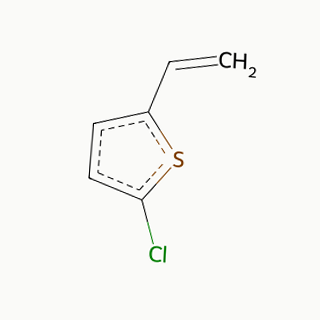 C=Cc1ccc(Cl)s1